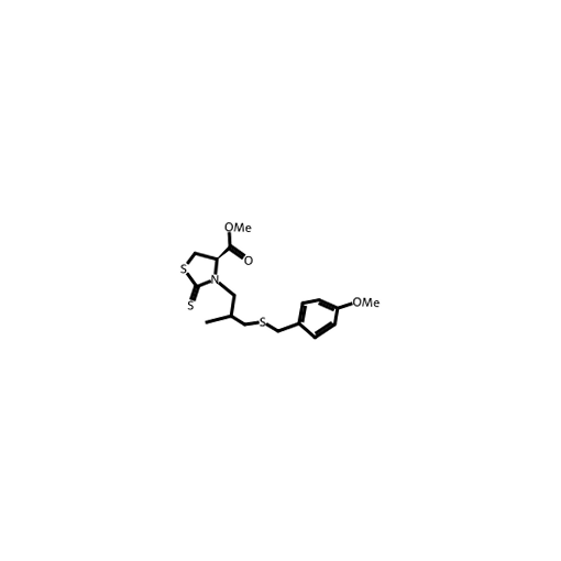 COC(=O)[C@@H]1CSC(=S)N1CC(C)CSCc1ccc(OC)cc1